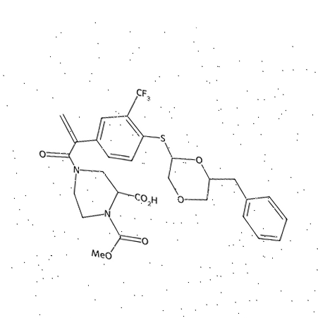 C=C(C(=O)N1CCN(C(=O)OC)C(C(=O)O)C1)c1ccc(SC2COCC(Cc3ccccc3)O2)c(C(F)(F)F)c1